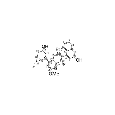 CCc1cccc2cc(O)cc(-c3ncc4c(N5CC(O)CC6C5[C@@H]6C)nc(OC)nc4c3F)c12